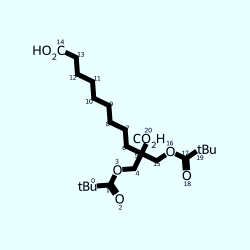 CC(C)(C)C(=O)OCC(CCCCCCCCC(=O)O)(COC(=O)C(C)(C)C)C(=O)O